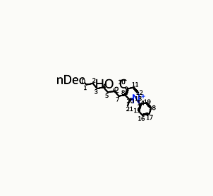 CCCCCCCCCCCCCCCCCc1c(C(=O)O)cc[n+](-c2ccccc2)c1C